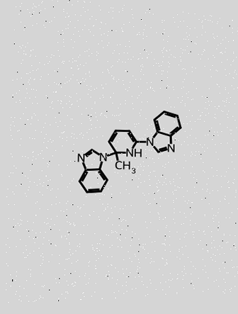 CC1(n2cnc3ccccc32)C=CC=C(n2cnc3ccccc32)N1